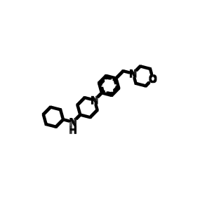 c1cc(N2CCC(NC3CCCCC3)CC2)ccc1CN1CCOCC1